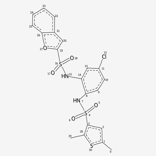 Cc1cc(S(=O)(=O)Nc2ccc(Cl)cc2NS(=O)(=O)c2cc3ccccc3o2)c(C)s1